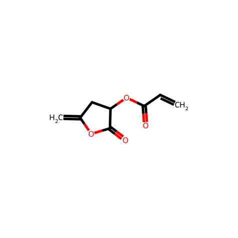 C=CC(=O)OC1CC(=C)OC1=O